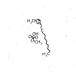 CCCCCCCCCCCCN1C=CN(C)C1.COS(=O)(=O)O